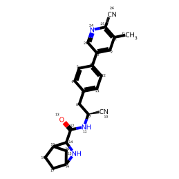 Cc1cc(-c2ccc(C[C@@H](C#N)NC(=O)C3NC4CCC3C4)cc2)cnc1C#N